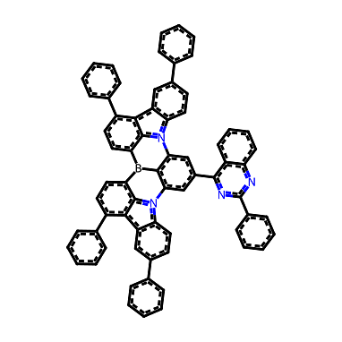 c1ccc(-c2ccc3c(c2)c2c(-c4ccccc4)ccc4c2n3-c2cc(-c3nc(-c5ccccc5)nc5ccccc35)cc3c2B4c2ccc(-c4ccccc4)c4c5cc(-c6ccccc6)ccc5n-3c24)cc1